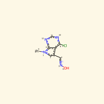 CC(C)n1cc(/C=N/O)c2c(Cl)ncnc21